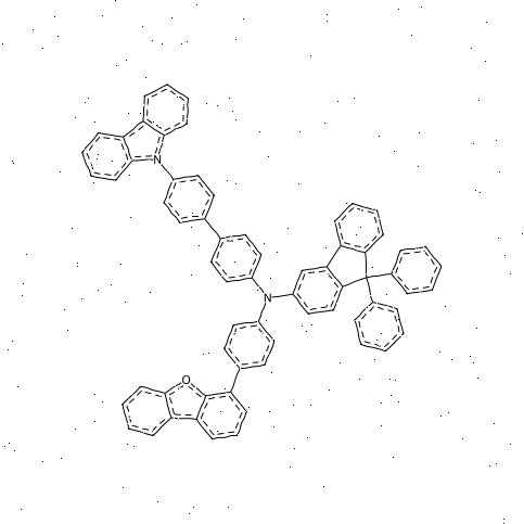 c1ccc(C2(c3ccccc3)c3ccccc3-c3cc(N(c4ccc(-c5ccc(-n6c7ccccc7c7ccccc76)cc5)cc4)c4ccc(-c5cccc6c5oc5ccccc56)cc4)ccc32)cc1